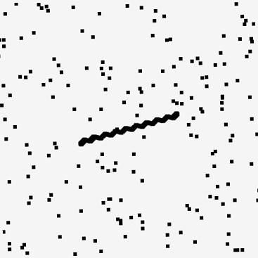 C=CC=CCCCCCCCCCCCCCCC=C